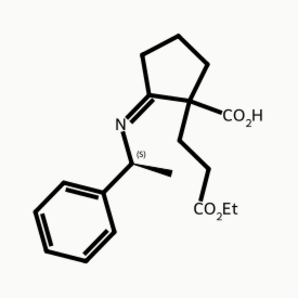 CCOC(=O)CCC1(C(=O)O)CCCC1=N[C@@H](C)c1ccccc1